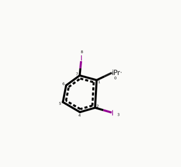 C[C](C)c1c(I)cccc1I